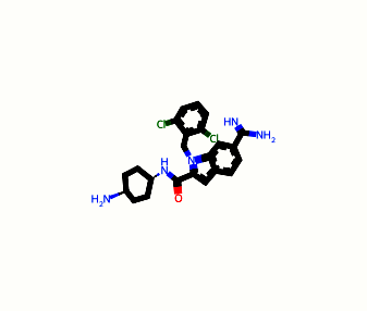 N=C(N)c1ccc2cc(C(=O)N[C@H]3CC[C@H](N)CC3)n(Cc3c(Cl)cccc3Cl)c2c1